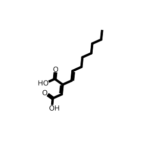 CCCCCCC=CC(=CC(=O)O)C(=O)O